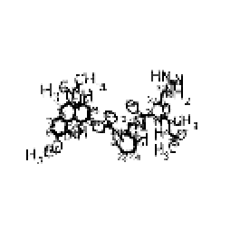 CCN(C)C1Cc2ccc(OC)c3c2C2[C@@H](O3)C(OC(=O)N3CCCCC3CNC(=O)[C@H](CCCNC(=N)N)NC(=O)[C@H](C)CC(C)=O)=CC[C@]21O